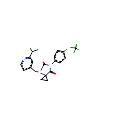 CC(C)c1cc(CN2C(=O)N(c3ccc(OC(F)(F)F)cc3)C(=O)C23CC3)ccn1